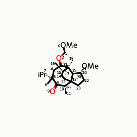 COCOC1C[C@@](C)(C(C)C)C(=O)[C@H](C)C23CC[C@@H](C)[C@]1(C)C2[C@H](OC)CC3